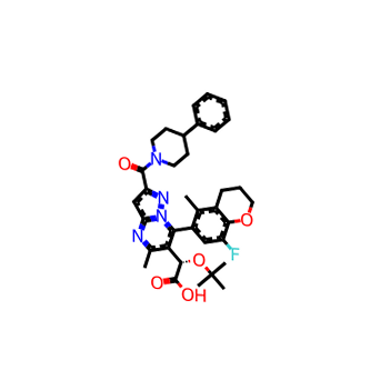 Cc1nc2cc(C(=O)N3CCC(c4ccccc4)CC3)nn2c(-c2cc(F)c3c(c2C)CCCO3)c1[C@H](OC(C)(C)C)C(=O)O